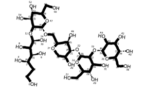 OCC[C@@H](O)[C@H](O)C(O)[C@H](O)OC1[C@@H](OCC2OCC(O)[C@@H](O[C@H]3OC(CO)[C@@H](O)C(O)C3O[C@H]3OC(CO)[C@@H](O)C(O)C3O)[C@@H]2O)OC(CO)[C@@H](O)[C@@H]1O